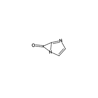 O=c1c2nccn12